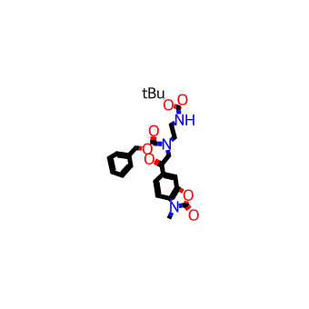 Cn1c(=O)oc2cc(C(=O)CN(CCNC(=O)OC(C)(C)C)C(=O)OCc3ccccc3)ccc21